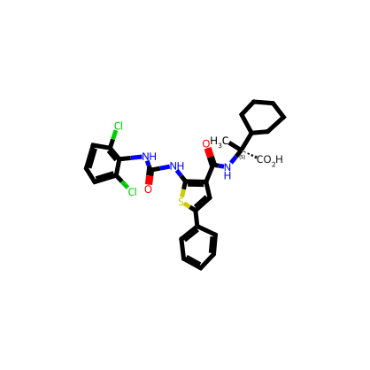 C[C@@](NC(=O)c1cc(-c2ccccc2)sc1NC(=O)Nc1c(Cl)cccc1Cl)(C(=O)O)C1CCCCC1